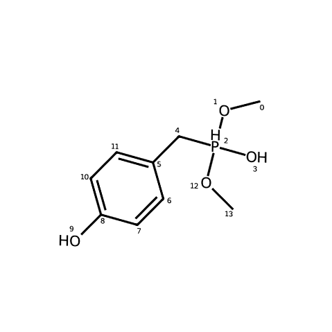 CO[PH](O)(Cc1ccc(O)cc1)OC